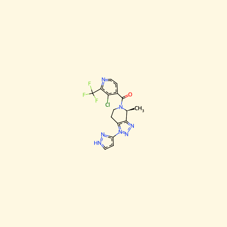 C[C@H]1c2nnn(-c3cc[nH]n3)c2CCN1C(=O)c1ccnc(C(F)(F)F)c1Cl